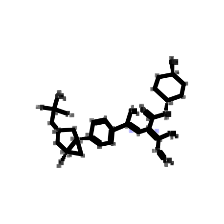 C=N/C(N)=C(\C=C(/C)c1ccc([C@]23C[C@H]2CN(CC(C)(F)F)C3)cc1)C(=O)N[C@H]1CC[C@H](O)CC1